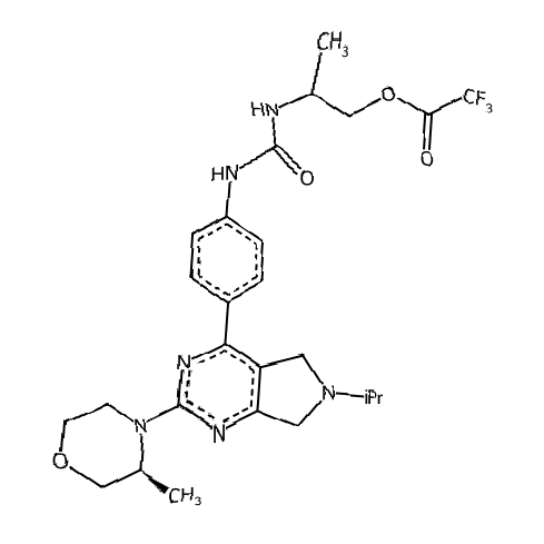 CC(COC(=O)C(F)(F)F)NC(=O)Nc1ccc(-c2nc(N3CCOC[C@@H]3C)nc3c2CN(C(C)C)C3)cc1